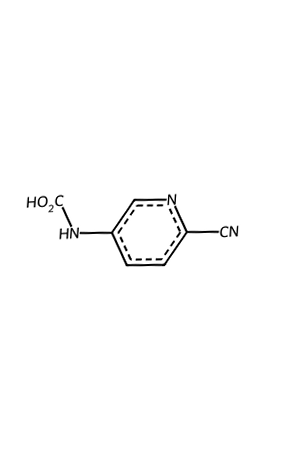 N#Cc1ccc(NC(=O)O)cn1